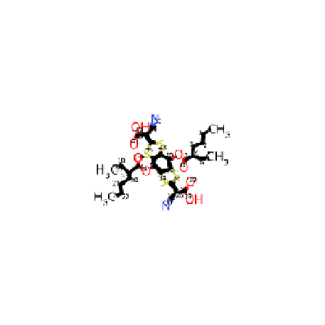 CCCCC(CC)C(=O)Oc1c2c(c(OC(=O)C(CC)CCCC)c3c1SC(=C(C#N)C(=O)O)S3)SC(=C(C#N)C(=O)O)S2